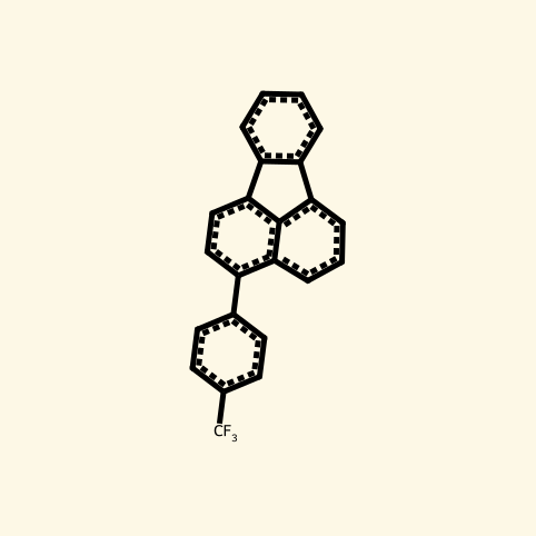 FC(F)(F)c1ccc(-c2ccc3c4c(cccc24)-c2ccccc2-3)cc1